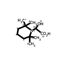 CC1(C)CCCC(C)(C)N1C(O)C(=O)O